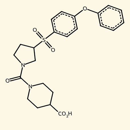 O=C(O)C1CCN(C(=O)N2CCC(S(=O)(=O)c3ccc(Oc4ccccc4)cc3)C2)CC1